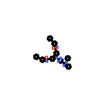 c1ccc(-c2ccc3nc(-c4ccc5c(c4)c4cc(-c6nc7ccc(-c8ccccc8)cc7o6)ccc4n5-c4ncc(-c5nc6ccccc6n5-c5ccccc5)cn4)oc3c2)cc1